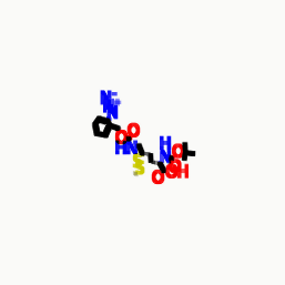 CSS[C@@H](CC[C@H](NC(=O)OC(C)(C)C)C(=O)O)CNC(=O)OCc1ccccc1N=[N+]=[N-]